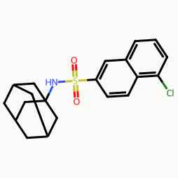 O=S(=O)(NC12CC3CC(CC(C3)C1)C2)c1ccc2c(Cl)cccc2c1